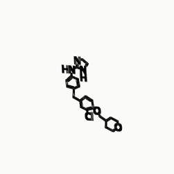 Clc1cc(Cc2ccc(NC3=NCCN3)cc2)ccc1OCC1CCOCC1